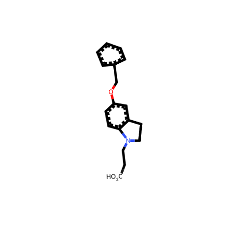 O=C(O)CCN1CCc2cc(OCc3ccccc3)ccc21